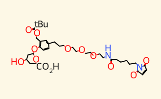 CC(C)(C)C(=O)OCc1cc(CCCOCCOCCOCCNC(=O)CCCCCN2C(=O)C=CC2=O)ccc1OC1CC(O)CC(C(=O)O)O1